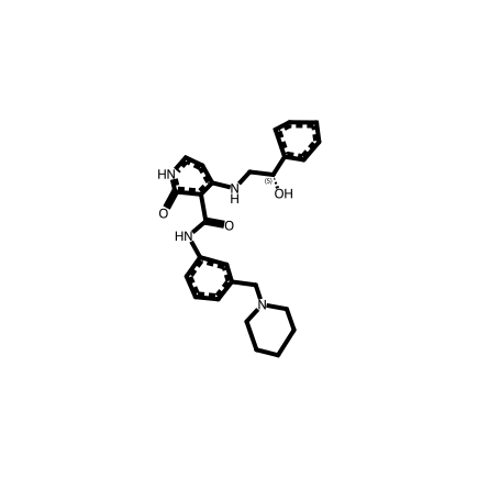 O=C(Nc1cccc(CN2CCCCC2)c1)c1c(NC[C@@H](O)c2ccccc2)cc[nH]c1=O